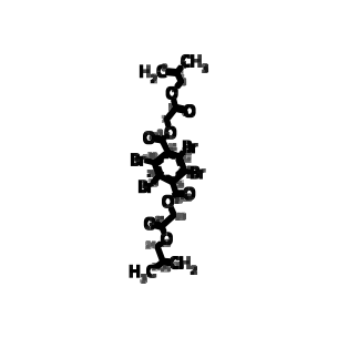 C=C(C)COC(=O)COC(=O)c1c(Br)c(Br)c(C(=O)OCC(=O)OCC(=C)C)c(Br)c1Br